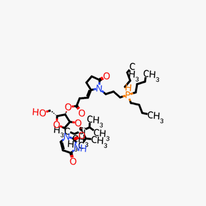 CCCC[PH](CCCC)(CCCC)CCCN1C(=O)CCC1=CCC(=O)O[C@@H]1C(O[Si](C(C)C)(C(C)C)C(C)C)[C@H](n2ccc(=O)[nH]c2=O)O[C@@H]1CO